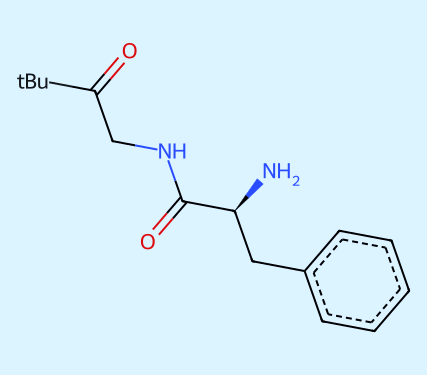 CC(C)(C)C(=O)CNC(=O)[C@@H](N)Cc1ccccc1